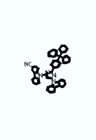 N#Cc1ccc2c(c1)c1ccccc1n2-c1cc(-n2c3ccccc3c3ccccc32)nc(-c2ccc(C(c3ccccc3)(c3ccccc3)c3ccccc3)cc2)n1